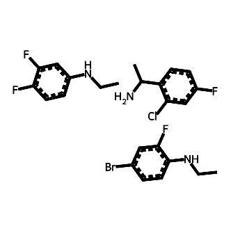 CC(N)c1ccc(F)cc1Cl.CCNc1ccc(Br)cc1F.CCNc1ccc(F)c(F)c1